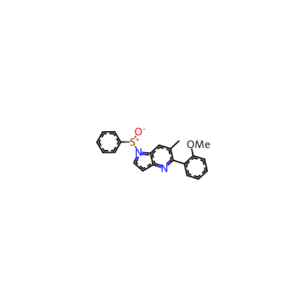 COc1ccccc1-c1nc2ccn([S+]([O-])c3ccccc3)c2cc1C